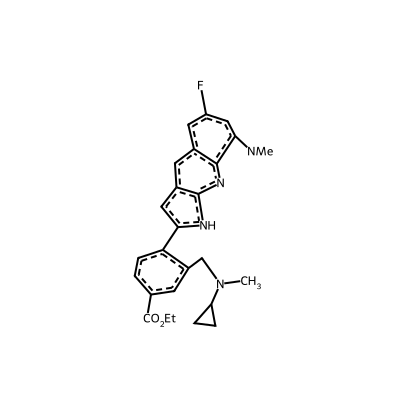 CCOC(=O)c1ccc(-c2cc3cc4cc(F)cc(NC)c4nc3[nH]2)c(CN(C)C2CC2)c1